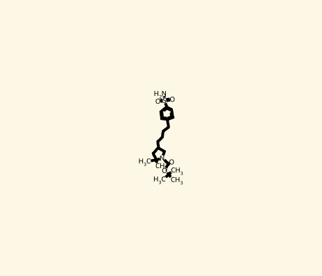 CC(C)(C)OC(=O)N1CC(CCCCc2ccc(S(N)(=O)=O)cc2)CC1(C)C